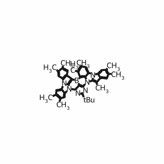 Cc1cc2c3c4n(c5cc(C)c(C)cc5n4c2cc1C)-c1nc(C(C)(C)C)nc2c1B3c1c(C)c(C)cc3c1n-2c1c(C)c2cc(C)c(C)cc2n31